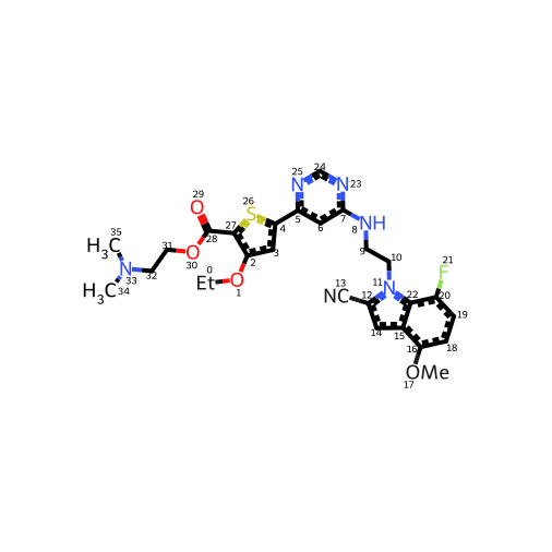 CCOc1cc(-c2cc(NCCn3c(C#N)cc4c(OC)ccc(F)c43)ncn2)sc1C(=O)OCCN(C)C